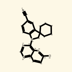 N#Cc1ccc2c(c1)C1(CCCCC1)CN2c1ncnc2ccc(Cl)nc12